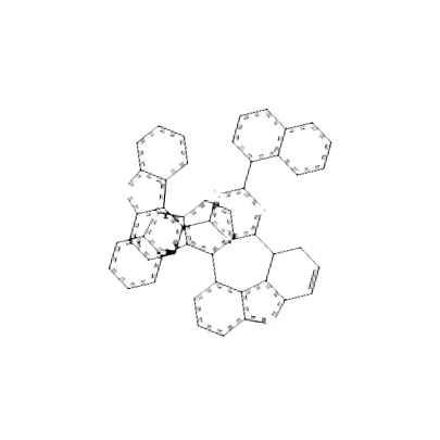 C1=Cc2oc3cccc(-c4cccc5sc6ccccc6c45)c3c2C(c2nc(-c3cccc4ccccc34)nc(-c3cccc4oc5ccccc5c34)n2)C1